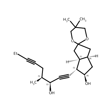 CCC#CC[C@H](C)[C@H](O)C#C[C@@H]1[C@H]2CC3(C[C@H]2C[C@H]1O)OCC(C)(C)CO3